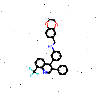 FC(F)(F)c1cccc2c(-c3cccc(NCc4ccc5c(c4)OCCO5)c3)c(-c3ccccc3)cnc12